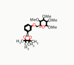 COC1O[C@@H](COc2cccc(B3OC(C)(C)C(C)(C)O3)c2)C(OC)C(OC)C1OC